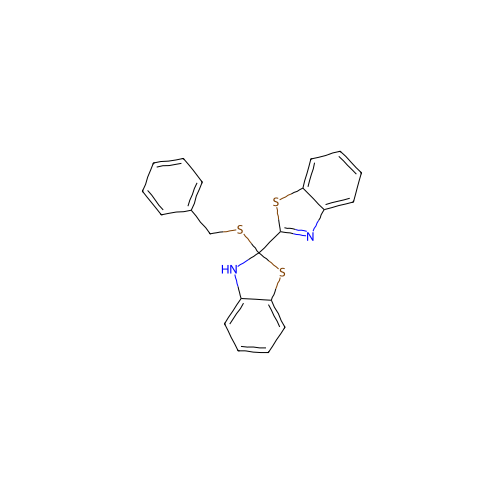 c1ccc(CSC2(c3nc4ccccc4s3)Nc3ccccc3S2)cc1